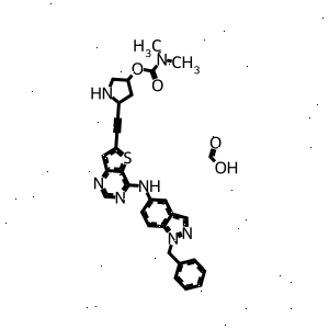 CN(C)C(=O)OC1CNC(C#Cc2cc3ncnc(Nc4ccc5c(cnn5Cc5ccccc5)c4)c3s2)C1.O=CO